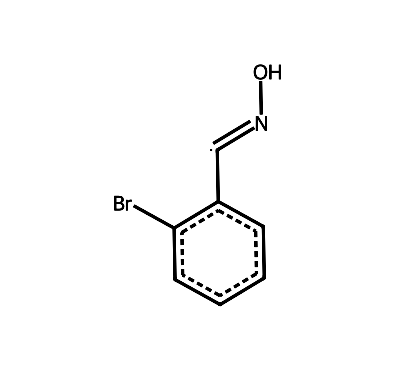 ON=[C]c1ccccc1Br